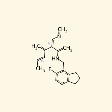 C=N/C=C(/C(=C)/C=C/C)C(=C)NCc1c(F)ccc2c1CCC2